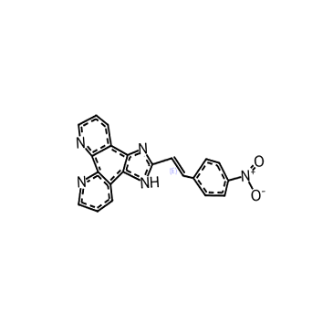 O=[N+]([O-])c1ccc(/C=C/c2nc3c4cccnc4c4ncccc4c3[nH]2)cc1